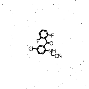 N#CCNc1ccc(Cl)cc1C(=O)c1c(F)cccc1F